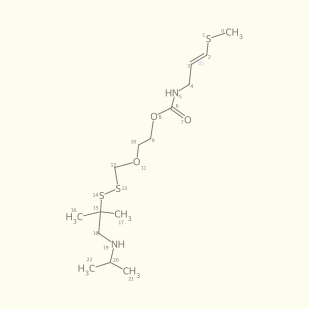 CS/C=C/CNC(=O)OCCOCSSC(C)(C)CNC(C)C